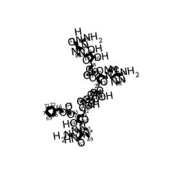 CO[C@@H]1[C@H](OP(=O)([O-])OC[C@H]2O[C@@H](n3cnc4c(=O)[nH]c(N)nc43)[C@H](O)[C@@H]2O)[C@@H](COP(=O)(O)OP(=O)(O)OP(=O)(O)OC[C@H]2O[C@@H](n3c[n+](C)c4c(=O)[nH]c(N)nc43)[C@H](O)[C@@H]2COC(=O)OCc2ccccc2)O[C@H]1n1cnc2c(N)ncnc21